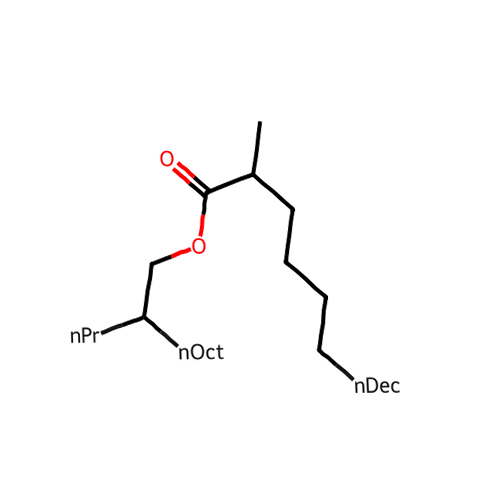 CCCCCCCCCCCCCCC(C)C(=O)OCC(CCC)CCCCCCCC